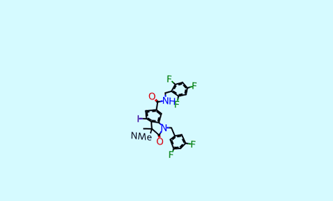 CNC1(C)C(=O)N(Cc2cc(F)cc(F)c2)c2cc(C(=O)NCc3c(F)cc(F)cc3F)cc(I)c21